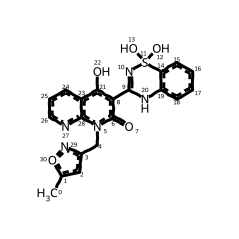 Cc1cc(Cn2c(=O)c(C3=NS(O)(O)c4ccccc4N3)c(O)c3cccnc32)no1